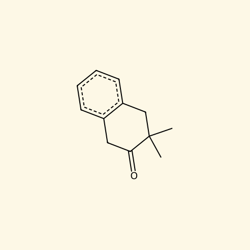 CC1(C)Cc2ccccc2CC1=O